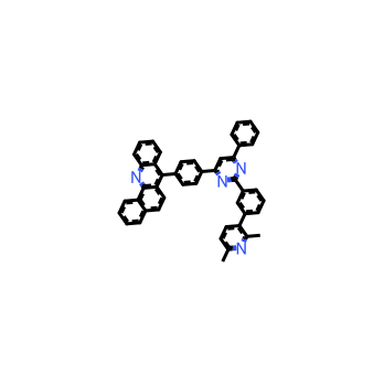 Cc1ccc(-c2cccc(-c3nc(-c4ccccc4)cc(-c4ccc(-c5c6ccccc6nc6c5ccc5ccccc56)cc4)n3)c2)c(C)n1